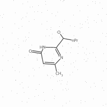 CCCC([O])c1nc(C)cc(=O)[nH]1